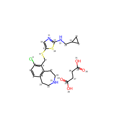 Clc1ccc2c(c1CSc1cnc(NCC3CC3)s1)CCNCC2.O=C(O)CCC(=O)O